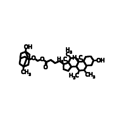 C[C@@H]1C2C[C@H](O)CC[C@]2(C)C2C[C@H](C)[C@]3(C)C(CCCC(=O)OCOC45CC6CC(C)(CC(O)(C6)C4)C5)CCC3C2[C@@H]1C